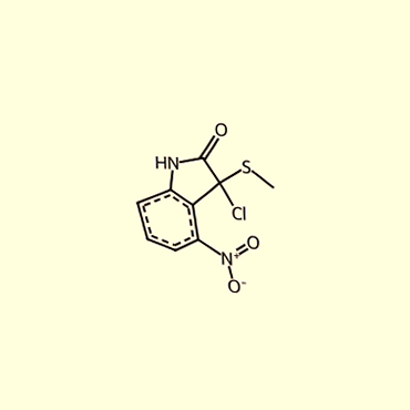 CSC1(Cl)C(=O)Nc2cccc([N+](=O)[O-])c21